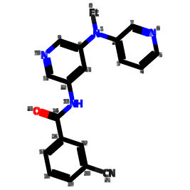 CCN(c1cccnc1)c1cncc(NC(=O)c2cccc(C#N)c2)c1